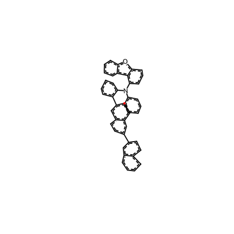 c1ccc(N(c2ccccc2-c2ccc3cc(-c4ccc5ccccc5c4)ccc3c2)c2cccc3oc4ccccc4c23)cc1